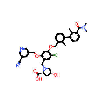 Cc1c(COc2cc(OCc3cncc(C#N)c3)c(CN3C[C@H](O)C[C@H]3C(=O)O)cc2Cl)cccc1-c1cccc(C(=O)N(C)C)c1C